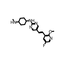 CNC1CCC(Nc2ncc(/C=C/c3cc(F)cnc3OC)cn2)CC1